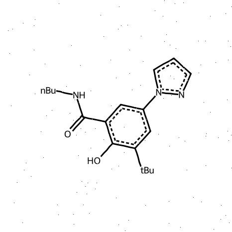 CCCCNC(=O)c1cc(-n2cccn2)cc(C(C)(C)C)c1O